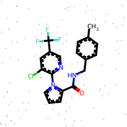 Cc1ccc(CNC(=O)c2cccn2-c2ncc(C(F)(F)F)cc2Cl)cc1